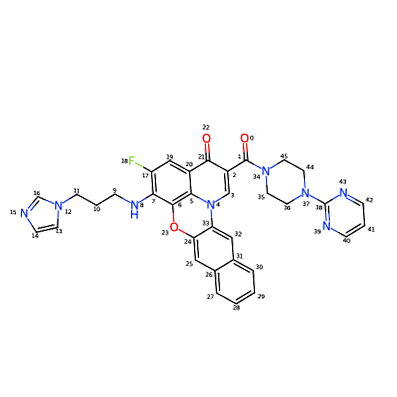 O=C(c1cn2c3c(c(NCCCn4ccnc4)c(F)cc3c1=O)Oc1cc3ccccc3cc1-2)N1CCN(c2ncccn2)CC1